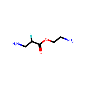 NCCOC(=O)C(F)CN